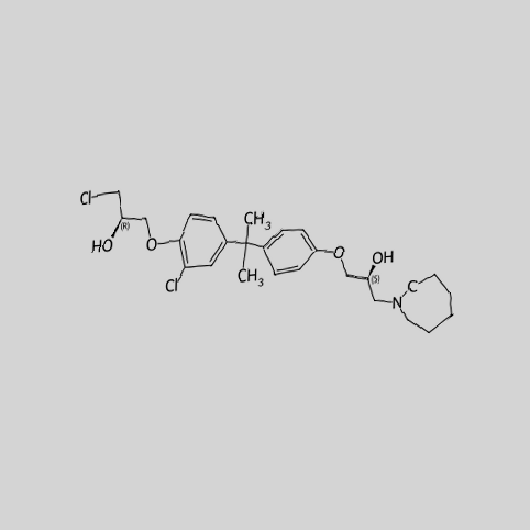 CC(C)(c1ccc(OC[C@@H](O)CN2CCCCCC2)cc1)c1ccc(OC[C@@H](O)CCl)c(Cl)c1